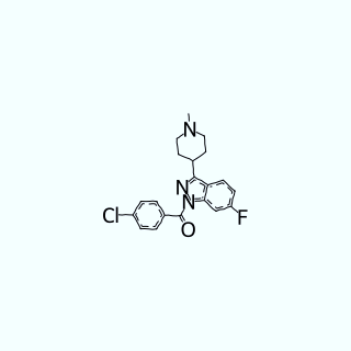 CN1CCC(c2nn(C(=O)c3ccc(Cl)cc3)c3cc(F)ccc23)CC1